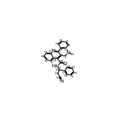 CN(C)Cc1c(-c2ccccc2)nc2ccccc2c1C(=O)NC(CC#N)c1ccccc1